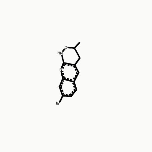 CC1Cc2cc3ccc(Br)cc3nc2NO1